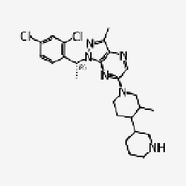 Cc1nn([C@H](C)c2ccc(Cl)cc2Cl)c2nc(N3CCC(C4CCCNC4)C(C)C3)cnc12